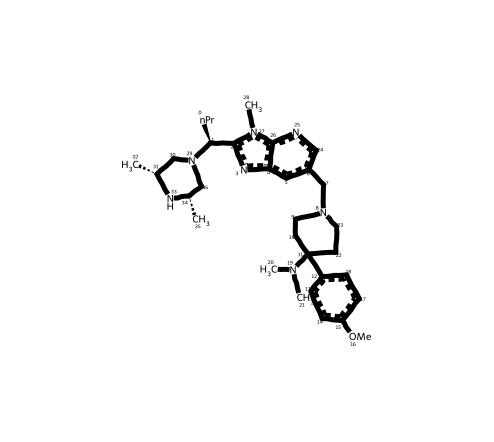 CCC[C@@H](c1nc2cc(CN3CCC(c4ccc(OC)cc4)(N(C)C)CC3)cnc2n1C)N1C[C@@H](C)N[C@@H](C)C1